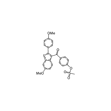 COc1ccc(-c2sc3cc(OC)ccc3c2C(=O)c2ccc(OS(C)(=O)=O)cc2)cc1